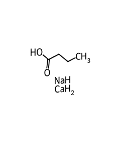 CCCC(=O)O.[CaH2].[NaH]